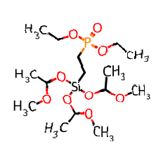 CCOP(=O)(CC[Si](OC(C)OC)(OC(C)OC)OC(C)OC)OCC